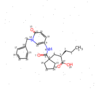 CCC[C@H](CC1(C(=O)Nc2ccc(=O)n(Cc3ccccc3)c2)CCCC1)C(=O)O